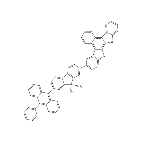 CC1(C)c2cc(-c3ccc4sc5c6oc7ccccc7c6c6ccccc6c5c4c3)ccc2-c2ccc(-c3c4ccccc4c(-c4ccccc4)c4ccccc34)cc21